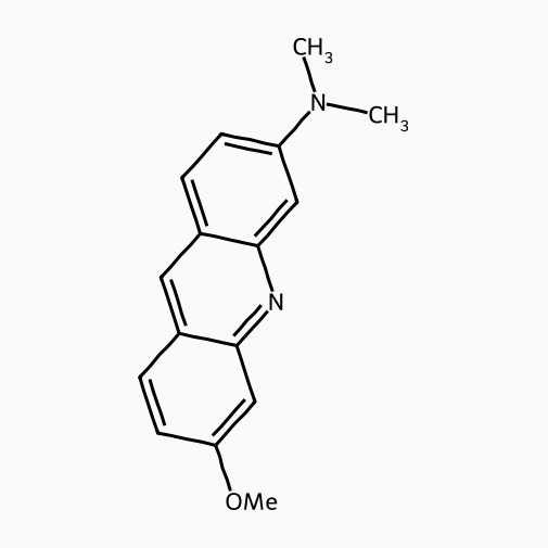 COc1ccc2cc3ccc(N(C)C)cc3nc2c1